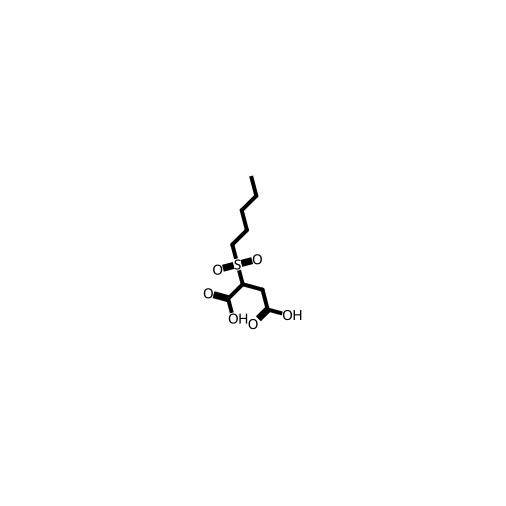 CCCCCS(=O)(=O)C(CC(=O)O)C(=O)O